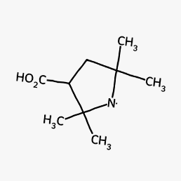 CC1(C)CC(C(=O)O)C(C)(C)[N]1